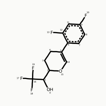 OC(C1CCC(c2ccc(F)cc2F)=CO1)C(F)(F)F